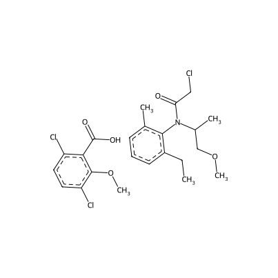 CCc1cccc(C)c1N(C(=O)CCl)C(C)COC.COc1c(Cl)ccc(Cl)c1C(=O)O